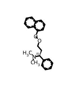 CN(C)[C@@H](CCOOc1cccc2ccccc12)c1ccccc1